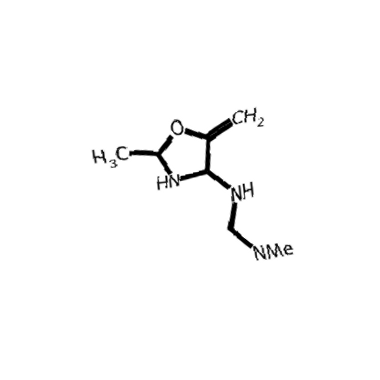 C=C1OC(C)NC1NCNC